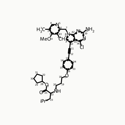 COc1c(C)cnc(Cn2cc(C#Cc3ccc(OCCCNC(CC(C)C)C(=O)OC4CCCC4)cc3)c3c(Cl)nc(N)nc32)c1C